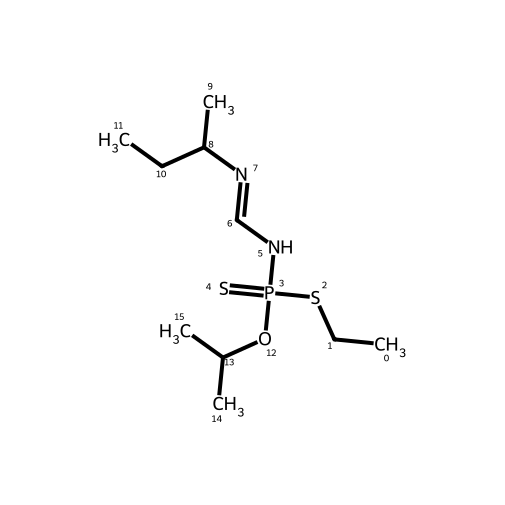 CCSP(=S)(NC=NC(C)CC)OC(C)C